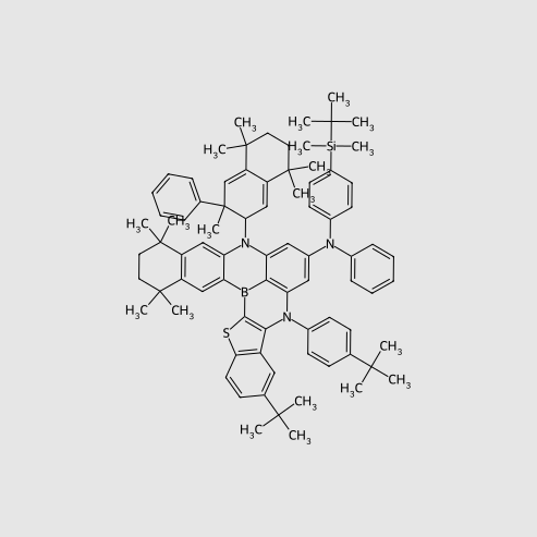 CC1(C)CCC(C)(C)C2=CC(C)(c3ccccc3)C(N3c4cc5c(cc4B4c6sc7ccc(C(C)(C)C)cc7c6N(c6ccc(C(C)(C)C)cc6)c6cc(N(c7ccccc7)c7ccc([Si](C)(C)C(C)(C)C)cc7)cc3c64)C(C)(C)CCC5(C)C)C=C21